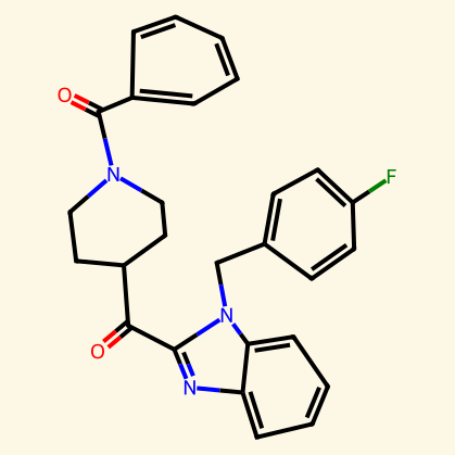 O=C(c1nc2ccccc2n1Cc1ccc(F)cc1)C1CCN(C(=O)c2ccccc2)CC1